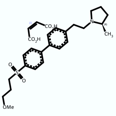 COCCCS(=O)(=O)c1ccc(-c2ccc(CCN3CCC[C@H]3C)cc2)cc1.O=C(O)/C=C\C(=O)O